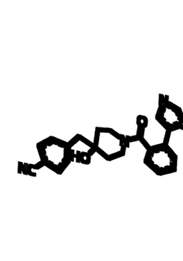 N#Cc1ccc(CC2(O)CCN(C(=O)c3ccccc3-c3cnco3)CC2)cc1